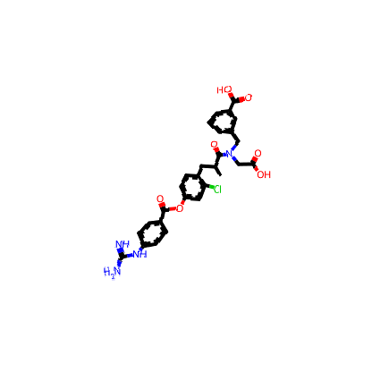 CC(Cc1ccc(OC(=O)c2ccc(NC(=N)N)cc2)cc1Cl)C(=O)N(CC(=O)O)Cc1cccc(C(=O)O)c1